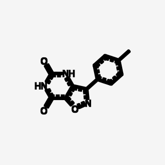 Cc1ccc(-c2noc3c(=O)[nH]c(=O)[nH]c23)cc1